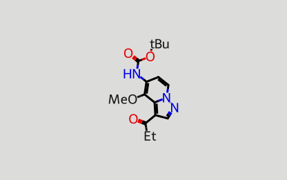 CCC(=O)c1cnn2ccc(NC(=O)OC(C)(C)C)c(OC)c12